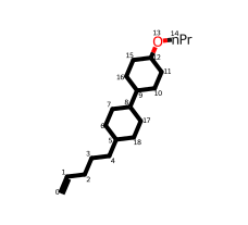 C=CCCCC1CCC(C2CCC(OCCC)CC2)CC1